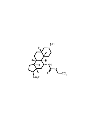 C[C@]12CC[C@@H](O)C[C@H]1CC[C@@H]1[C@@H]2[C@H](NC(=O)OCC(Cl)(Cl)Cl)C[C@]2(C)[C@@H](C(=O)O)CC[C@@H]12